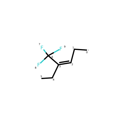 [CH2]C/C=C(/CC)C(F)(F)F